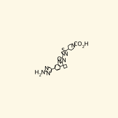 Nc1ncc(-c2ccc(C3(c4noc(-c5csc(C6CCN(C(=O)O)CC6)n5)n4)CCC3)cc2)cn1